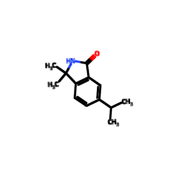 CC(C)c1ccc2c(c1)C(=O)NC2(C)C